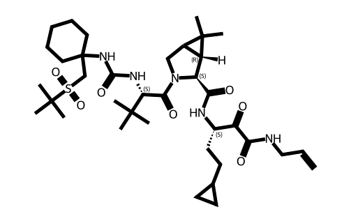 C=CCNC(=O)C(=O)[C@H](CCC1CC1)NC(=O)[C@@H]1[C@@H]2C(CN1C(=O)[C@@H](NC(=O)NC1(CS(=O)(=O)C(C)(C)C)CCCCC1)C(C)(C)C)C2(C)C